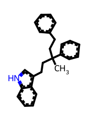 CC(CCc1ccccc1)(CCc1c[nH]c2ccccc12)c1ccccc1